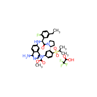 CCc1ccc(F)c([C@H](Nc2ccc3c(N)nccc3c2)C(=O)N2CCC[C@@H]2c2cc(NC(=O)OC)ccc2S(=O)(=O)C(C)C)c1.O=C(O)C(F)(F)F